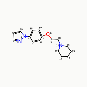 c1cnn(-c2ccc(OCCN3CCCCC3)cc2)c1